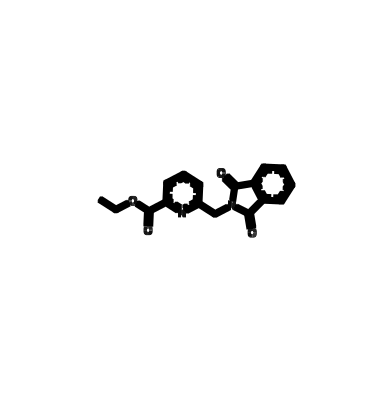 CCOC(=O)c1cccc(CN2C(=O)c3ccccc3C2=O)n1